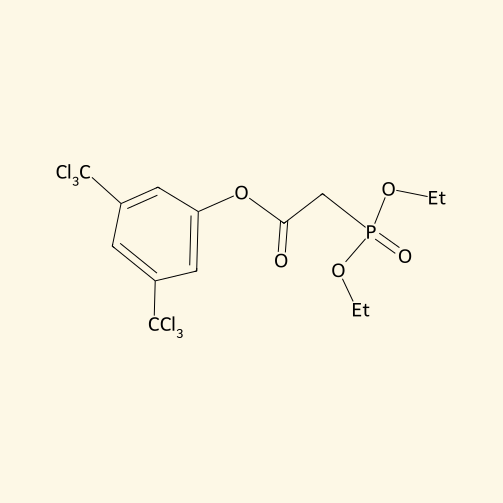 CCOP(=O)(CC(=O)Oc1cc(C(Cl)(Cl)Cl)cc(C(Cl)(Cl)Cl)c1)OCC